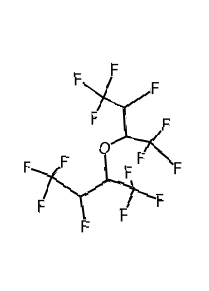 FC(C(OC(C(F)C(F)(F)F)C(F)(F)F)C(F)(F)F)C(F)(F)F